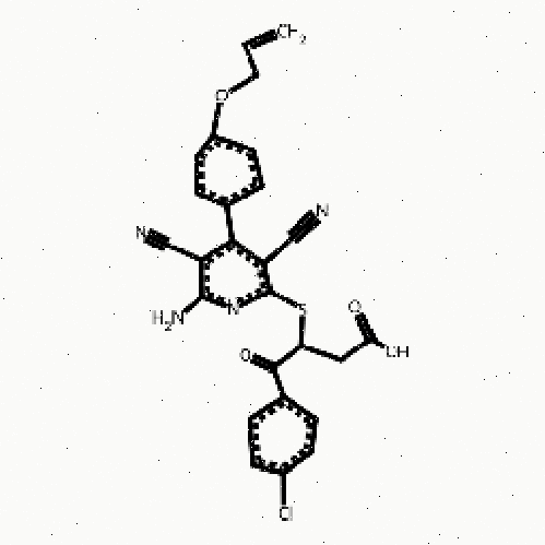 C=CCOc1ccc(-c2c(C#N)c(N)nc(SC(CC(=O)O)C(=O)c3ccc(Cl)cc3)c2C#N)cc1